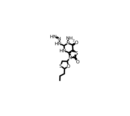 CCCC1OC(n2c3c(sc2=O)C(=O)N(N)C(NN=N)N3)CS1